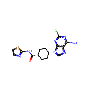 Nc1nc(Cl)nc2c1ncn2[C@H]1CC[C@@H](C(=O)Nc2nccs2)CC1